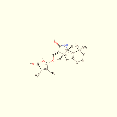 CC1=C(C)[C@@H](O/C=C2/C(=O)N[C@@H]3C4=C(CCCC4(C)C)C[C@H]23)OC1=O